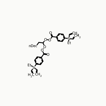 [CH2]CCCCCCCCCC[C](OOC(=O)c1ccc([Si](C=C)(C=C)CC)cc1)OOC(=O)c1ccc([Si](C=C)(C=C)CC)cc1